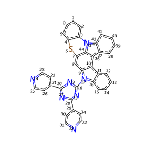 c1ccc2c(c1)Sc1cc3c(c4ccccc4n3-c3nc(-c4ccncc4)nc(-c4ccncc4)n3)c3c4ccccc4n-2c13